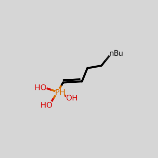 CCCCCCC=C[PH](O)(O)O